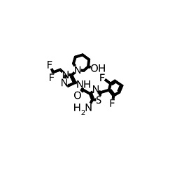 Nc1sc(-c2c(F)cccc2F)nc1C(=O)Nc1cnn(CC(F)F)c1N1CCCCC(O)C1